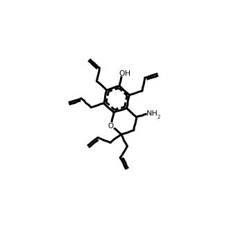 C=CCc1c(O)c(CC=C)c2c(c1CC=C)OC(CC=C)(CC=C)CC2N